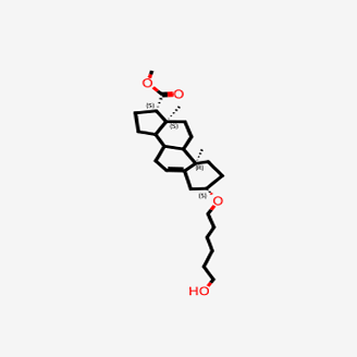 COC(=O)[C@H]1CCC2C3CC=C4C[C@@H](OCCCCCCO)CC[C@]4(C)C3CC[C@@]21C